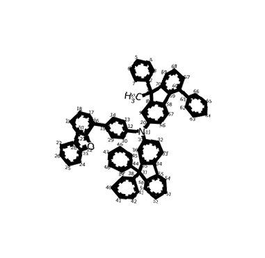 CC1(c2ccccc2)c2cc(N(c3ccc(-c4cccc5c4oc4ccccc45)cc3)c3ccc4c(c3)C(c3ccccc3)(c3ccccc3)c3ccccc3-4)ccc2-c2c(-c3ccccc3)cccc21